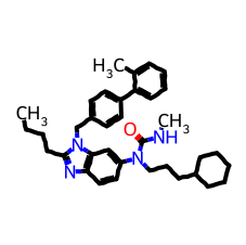 CCCCc1nc2ccc(N(CCCC3CCCCC3)C(=O)NC)cc2n1Cc1ccc(-c2ccccc2C)cc1